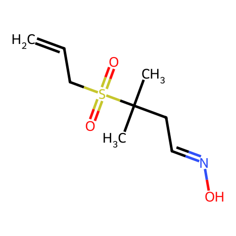 C=CCS(=O)(=O)C(C)(C)CC=NO